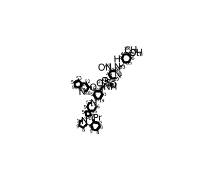 CC(C)c1ccccc1[C@H]1CCCN1C1CC2(CCN(c3ccc(C(=O)NS(=O)(=O)c4cnc(NC[C@H]5CC[C@](C)(O)CC5)c(N=O)c4)c(Oc4cnc5c(c4)C=CC5)c3)CC2)C1